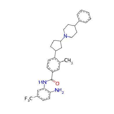 Cc1cc(C(=O)Nc2cc(C(F)(F)F)ccc2N)ccc1C1CCC(N2CCC(c3ccccc3)CC2)C1